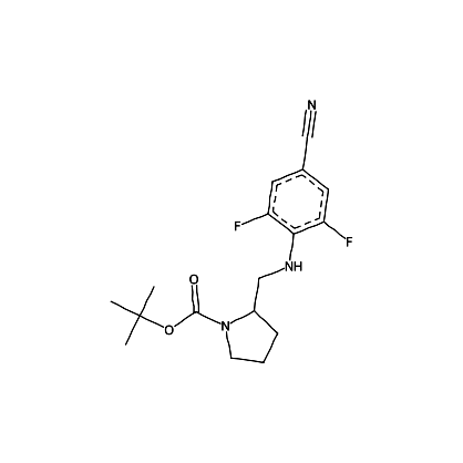 CC(C)(C)OC(=O)N1CCCC1CNc1c(F)cc(C#N)cc1F